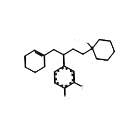 CCCCC1(CCC(CC2=CCCCC2)c2ccc(CC)c(F)c2)CCCCC1